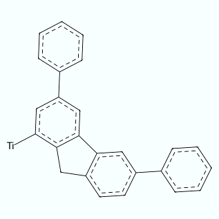 [Ti][c]1cc(-c2ccccc2)cc2c1Cc1ccc(-c3ccccc3)cc1-2